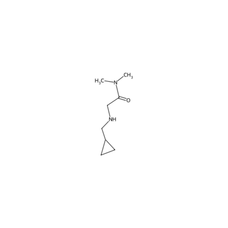 CN(C)C(=O)CNCC1CC1